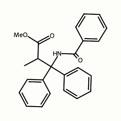 COC(=O)C(C)C(NC(=O)c1ccccc1)(c1ccccc1)c1ccccc1